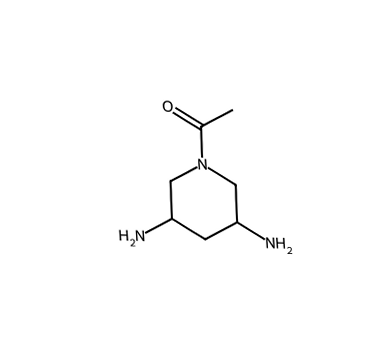 CC(=O)N1CC(N)CC(N)C1